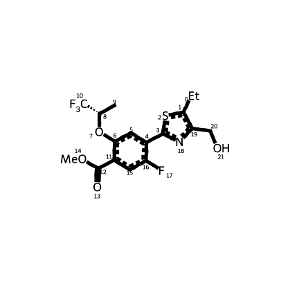 CCc1sc(-c2cc(O[C@@H](C)C(F)(F)F)c(C(=O)OC)cc2F)nc1CO